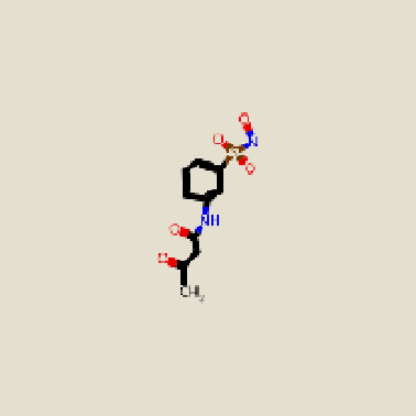 CC(=O)CC(=O)Nc1cccc(S(=O)(=O)N=O)c1